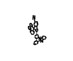 N#Cc1ccc2c(c1)C1(c3ccccc3Oc3ccccc31)c1cc(-c3ccc4c5ccccc5c5nc6ccccc6n5c4c3)ccc1-2